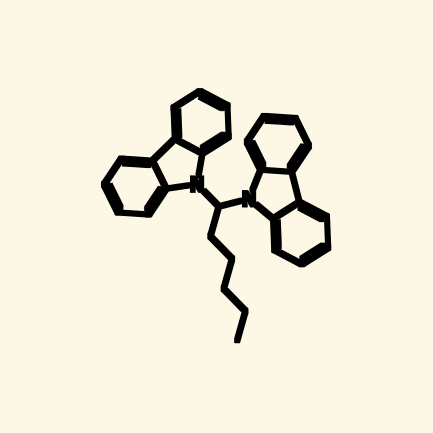 CCCCCC(n1c2ccccc2c2ccccc21)n1c2ccccc2c2ccccc21